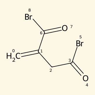 C=C(CC(=O)Br)C(=O)Br